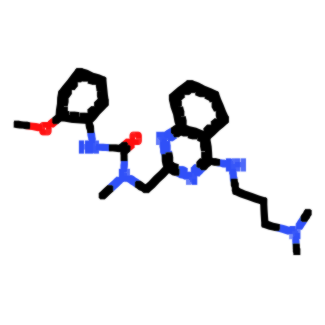 COc1ccccc1NC(=O)N(C)Cc1nc(NCCCN(C)C)c2ccccc2n1